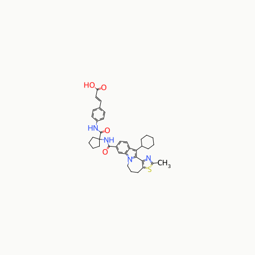 Cc1nc2c(s1)CCCn1c-2c(C2CCCCC2)c2ccc(C(=O)NC3(C(=O)Nc4ccc(/C=C/C(=O)O)cc4)CCCC3)cc21